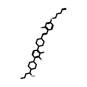 C=CCCCOc1ccc(/C=C/C2CCC(c3ccc(C4CCC(C(O)CCC)CC4)c(F)c3F)CC2)c(F)c1